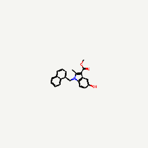 COC(=O)c1c(C)n(Cc2cccc3ccccc23)c2ccc(O)cc12